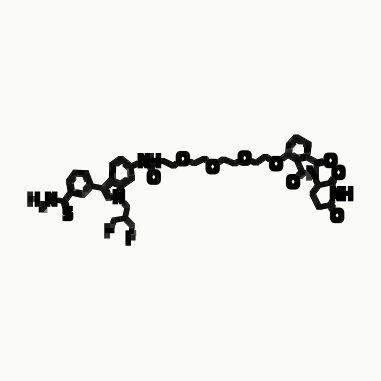 NC(=S)c1cccc(-c2cn(CC(CF)CF)c3cc(NC(=O)CCOCCOCCOCCOc4cccc5c4C(=O)N(C4CCC(=O)NC4=O)C5=O)ccc23)c1